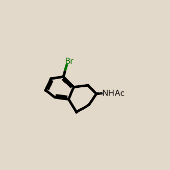 CC(=O)NC1CCc2cccc(Br)c2C1